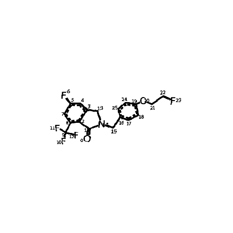 O=C1c2c(cc(F)cc2C(F)(F)F)CN1Cc1ccc(OCCF)cc1